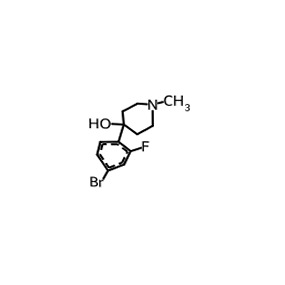 CN1CCC(O)(c2ccc(Br)cc2F)CC1